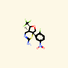 NC1=NC[C@H]2[C@@H](C(F)(F)F)OC[C@]2(c2cc([N+](=O)[O-])ccc2F)S1